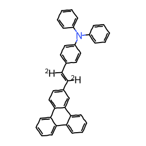 [2H]/C(=C(/[2H])c1ccc2c3ccccc3c3ccccc3c2c1)c1ccc(N(c2ccccc2)c2ccccc2)cc1